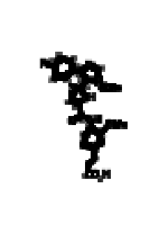 COc1cc(CCC(=O)O)ccc1NC(=O)c1cnc(-c2c(-c3ccc(F)cc3)ncn2OC)[nH]1